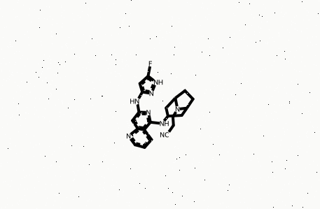 N#CCCN1C2CCC1CC(Nc1nc(Nc3cc(F)[nH]n3)cc3ncccc13)C2